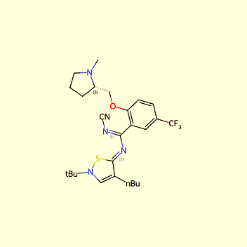 CCCCc1cn(C(C)(C)C)s/c1=N\C(=N\C#N)c1cc(C(F)(F)F)ccc1OC[C@@H]1CCCN1C